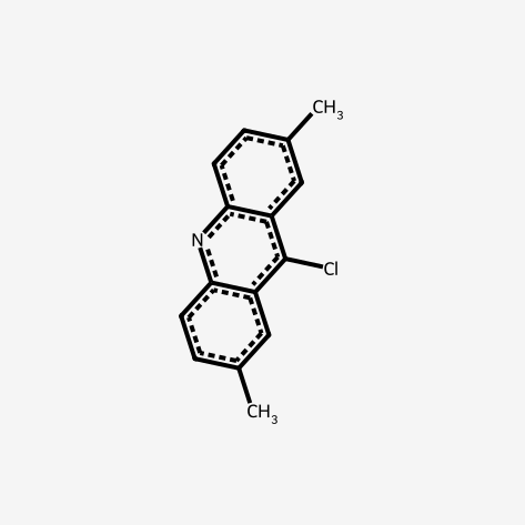 Cc1ccc2nc3ccc(C)cc3c(Cl)c2c1